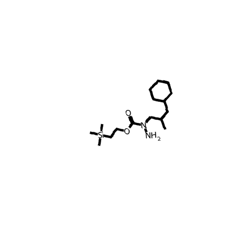 CC(CC1CCCCC1)CN(N)C(=O)OCC[Si](C)(C)C